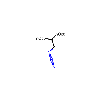 CCCCCCCCC(CCCCCCCC)CN=[N+]=[N-]